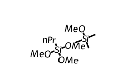 CCC[Si](OC)(OC)OC.CO[Si](C)(C)C